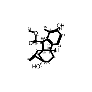 C=C1C[C@]23C[C@@]1(O)CC[C@H]2c1ccc(O)c(C)c1[C@@H]3C(=O)OC